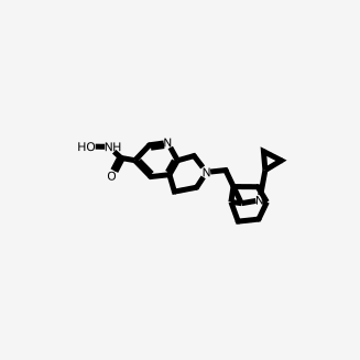 O=C(NO)c1cnc2c(c1)CCN(CC1C3CCC(CC3)N1C1CC1)C2